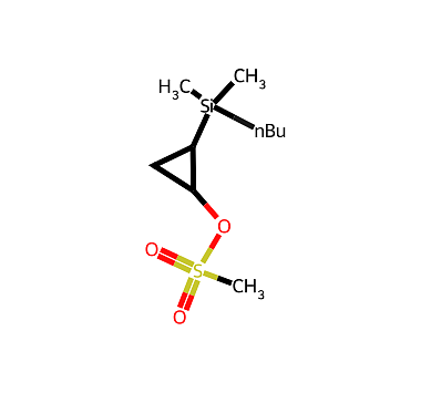 CCCC[Si](C)(C)C1CC1OS(C)(=O)=O